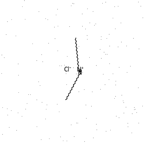 CCCCCCCCCCCCCCCCCCn1cc[n+](CCCCCCCCCCCCCCCCCC)c1.[Cl-]